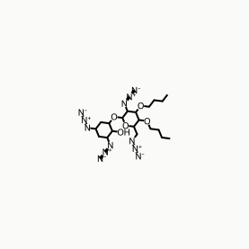 CCCCOC1C(CN=[N+]=[N-])OC(OC2CC(N=[N+]=[N-])CC(N=[N+]=[N-])C2O)C(N=[N+]=[N-])C1OCCCC